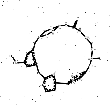 CC(C)Nc1cc2cc(c1)Nc1nccc(n1)-c1ccc(cc1)CN(C)CCCNC(=O)CN1CCN(CC1)C2